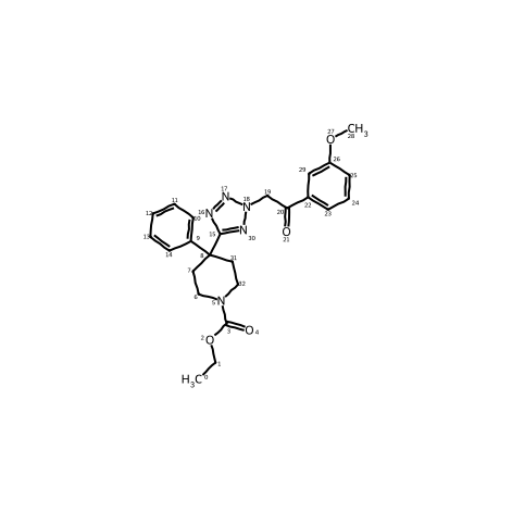 CCOC(=O)N1CCC(c2ccccc2)(c2nnn(CC(=O)c3cccc(OC)c3)n2)CC1